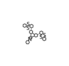 c1ccc(-n2cc3c4ccc(-c5cccc6c5Sc5ccccc5S6)cc4c4cc(-c5cccc6c5Sc5ccccc5S6)ccc4c3c2)cc1